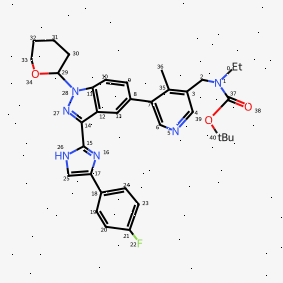 CCN(Cc1cncc(-c2ccc3c(c2)c(-c2nc(-c4ccc(F)cc4)c[nH]2)nn3C2CCCCO2)c1C)C(=O)OC(C)(C)C